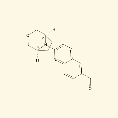 O=Cc1ccc2nc(N3[C@@H]4CC[C@H]3COC4)ccc2c1